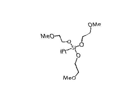 COCCO[Si](OCCOC)(OCCOC)C(C)C